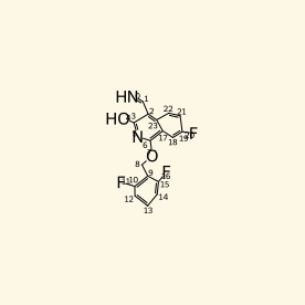 N=Cc1c(O)nc(OCc2c(F)cccc2F)c2cc(F)ccc12